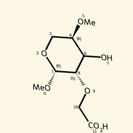 CO[C@@H]1OC[C@@H](OC)C(O)[C@@H]1OCC(=O)O